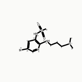 CN(C)CCCNc1ncc(Br)cc1NS(C)(=O)=O